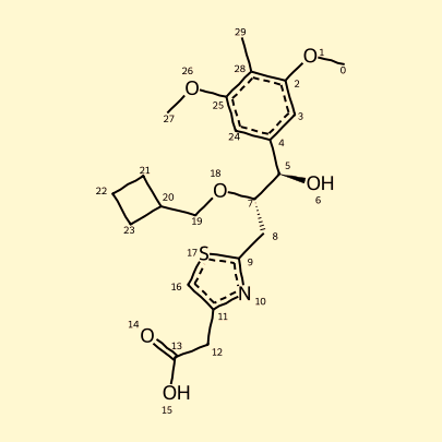 COc1cc([C@@H](O)[C@H](Cc2nc(CC(=O)O)cs2)OCC2CCC2)cc(OC)c1C